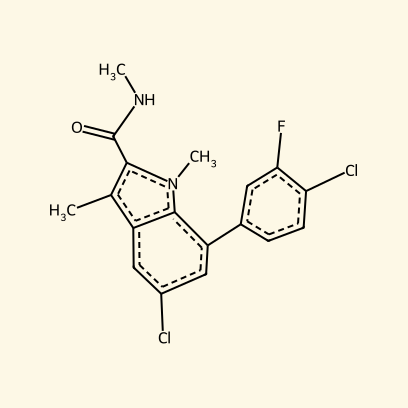 CNC(=O)c1c(C)c2cc(Cl)cc(-c3ccc(Cl)c(F)c3)c2n1C